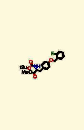 COC(=O)C(Cc1ccc(OCc2ccccc2F)cc1)NC(=O)OC(C)(C)C